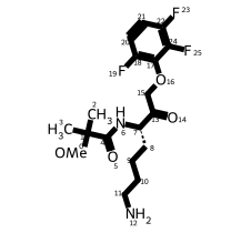 COC(C)(C)C(=O)N[C@@H](CCCCN)C(=O)COc1c(F)c#cc(F)c1F